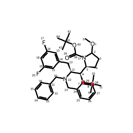 COC1CC[C@@H]([C@@H](O[Si](C)(C)C)[C@H](Cc2cc(F)cc(F)c2)N(Cc2ccccc2)Cc2ccccc2)N1C(=O)OC(C)(C)C